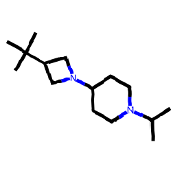 CC(C)N1CCC(N2CC(C(C)(C)C)C2)CC1